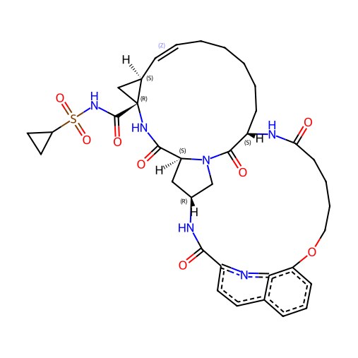 O=C1CCCCOc2cccc3ccc(nc23)C(=O)N[C@@H]2C[C@H]3C(=O)N[C@]4(C(=O)NS(=O)(=O)C5CC5)C[C@H]4/C=C\CCCCC[C@H](N1)C(=O)N3C2